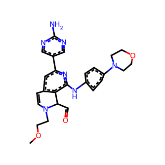 COCCN1C=Cc2cc(-c3cnc(N)nc3)nc(Nc3ccc(N4CCOCC4)cc3)c2C1C=O